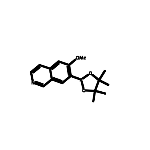 COc1cc2ccncc2cc1B1OC(C)(C)C(C)(C)O1